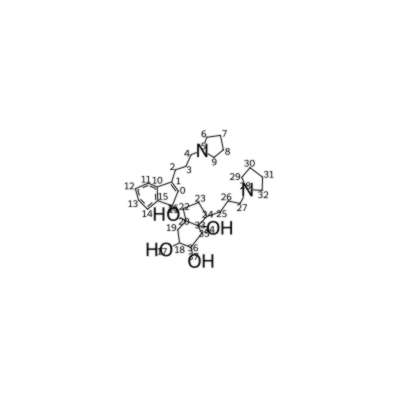 C1=C(CCCN2CCCC2)c2ccccc2C1.OC1CC2(O)CCC(CCCN3CCCC3)C2(O)CC1O